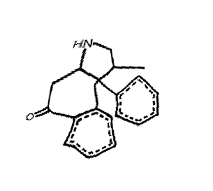 CC1CNC2CC(=O)c3ccccc3C12c1ccccc1